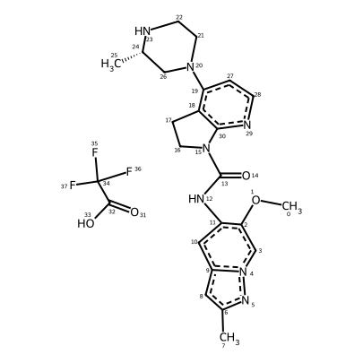 COc1cn2nc(C)cc2cc1NC(=O)N1CCc2c(N3CCN[C@@H](C)C3)ccnc21.O=C(O)C(F)(F)F